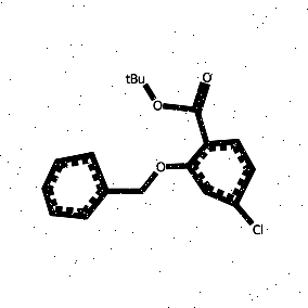 CC(C)(C)OC(=O)c1ccc(Cl)cc1OCc1ccccc1